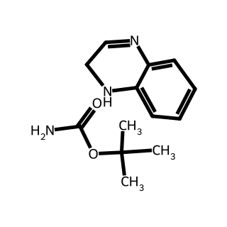 C1=Nc2ccccc2NC1.CC(C)(C)OC(N)=O